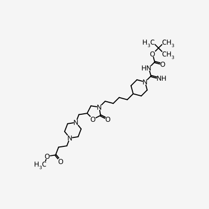 COC(=O)CCN1CCN(CC2CN(CCCCC3CCN(C(=N)NC(=O)OC(C)(C)C)CC3)C(=O)O2)CC1